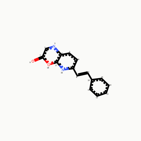 O=c1cnc2ccc(/C=C/c3ccccc3)nc2o1